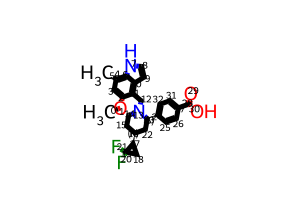 COc1cc(C)c2[nH]ccc2c1CN1CC[C@@H](C2CC2(F)F)C[C@H]1c1ccc(C(=O)O)cc1